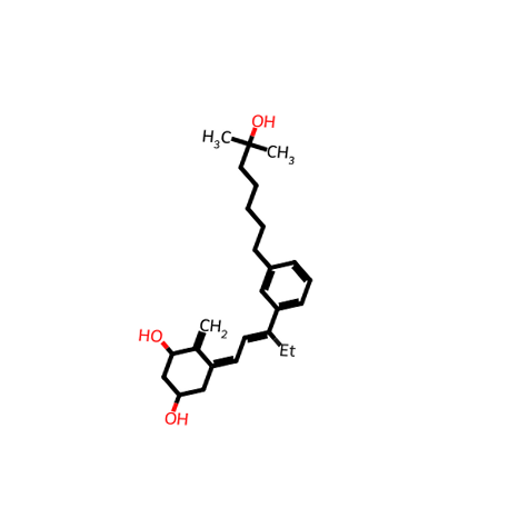 C=C1/C(=C\C=C(/CC)c2cccc(CCCCCC(C)(C)O)c2)CC(O)CC1O